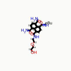 CCCCNC(=O)c1ccc(C(=O)NCCOCCO)c2c(C(N)=O)ccc(C(N)=O)c12